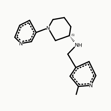 Cc1cc(CN[C@H]2CCCN(c3cccnc3)C2)ccn1